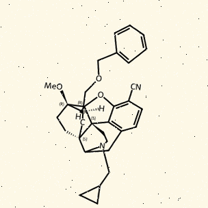 CO[C@]12CC[C@@]3(C[C@@H]1COCc1ccccc1)C1Cc4ccc(C#N)c5c4[C@@]3(CCN1CC1CC1)[C@H]2O5